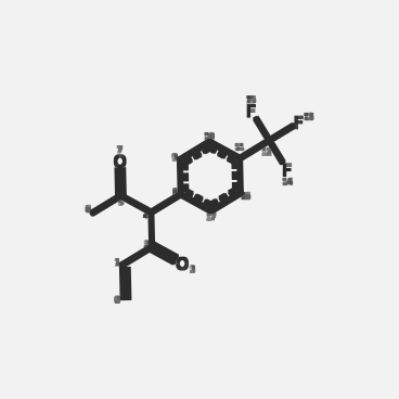 C=CC(=O)C(C(C)=O)c1ccc(C(F)(F)F)cc1